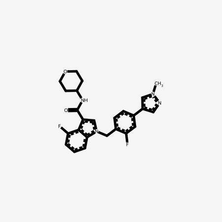 Cn1cc(-c2ccc(Cn3cc(C(=O)NC4CCOCC4)c4c(F)cccc43)c(F)c2)cn1